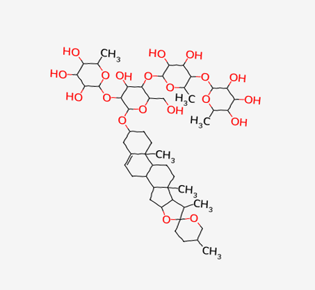 CC1CCC2(OC1)OC1CC3C4CC=C5CC(OC6OC(CO)C(OC7OC(C)C(OC8OC(C)C(O)C(O)C8O)C(O)C7O)C(O)C6OC6OC(C)C(O)C(O)C6O)CCC5(C)C4CCC3(C)C1C2C